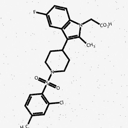 Cc1ccc(S(=O)(=O)N2CCC(c3c(C)n(CC(=O)O)c4ccc(F)cc34)CC2)c(Cl)c1